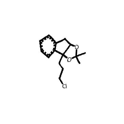 CC1(C)OC2Cc3ccccc3C2(CCCCl)O1